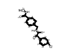 O=C(NCc1ccc(C(=O)NO)cc1)C(=O)c1ccc(Cl)cc1